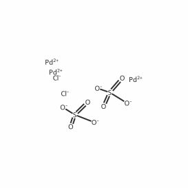 O=S(=O)([O-])[O-].O=S(=O)([O-])[O-].[Cl-].[Cl-].[Pd+2].[Pd+2].[Pd+2]